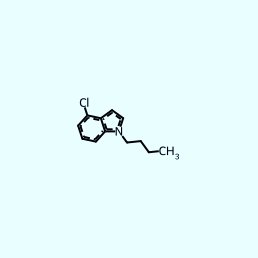 CCCCn1ccc2c(Cl)cccc21